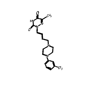 Cc1nn(CCCCN2CCN(c3cccc(C(F)(F)F)c3)CC2)c(=O)[nH]c1=O